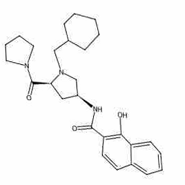 O=C(N[C@H]1C[C@@H](C(=O)N2CCCC2)N(CC2CCCCC2)C1)c1ccc2ccccc2c1O